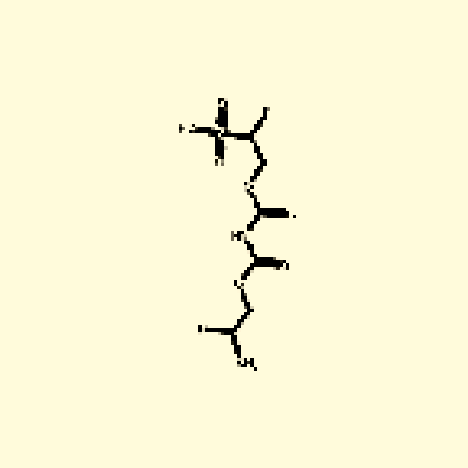 CC(F)COC(=O)NC(=O)OCC(F)S(=O)(=O)O